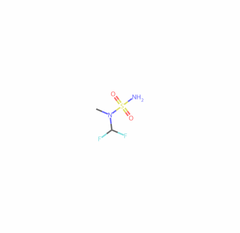 CN(C(F)F)S(N)(=O)=O